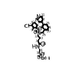 Cc1c(Cl)cccc1S(=O)(=O)N(CCCC(=O)NCCS(=O)(=O)O)[C@@H](C)c1cccc(-c2ccnnc2)c1